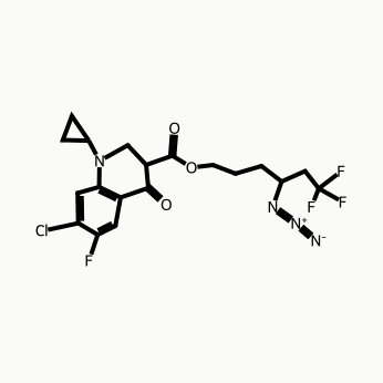 [N-]=[N+]=NC(CCCOC(=O)C1CN(C2CC2)c2cc(Cl)c(F)cc2C1=O)CC(F)(F)F